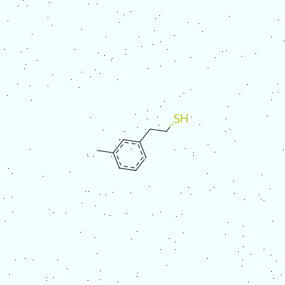 Cc1[c]c(CCS)ccc1